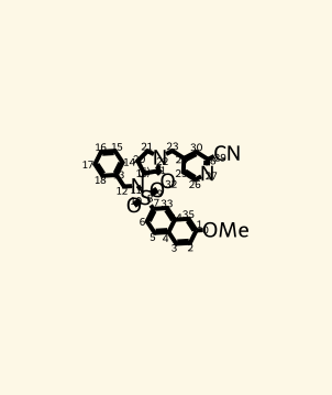 COc1ccc2ccc(S(=O)(=O)N(Cc3ccccc3)[C@H]3CCN(Cc4ccnc(C#N)c4)C3=O)cc2c1